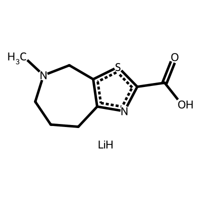 CN1CCCc2nc(C(=O)O)sc2C1.[LiH]